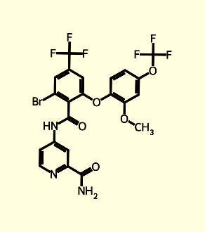 COc1cc(OC(F)(F)F)ccc1Oc1cc(C(F)(F)F)cc(Br)c1C(=O)Nc1ccnc(C(N)=O)c1